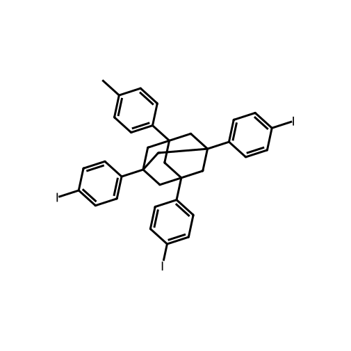 Cc1ccc(C23CC4(c5ccc(I)cc5)CC(c5ccc(I)cc5)(C2)CC(c2ccc(I)cc2)(C3)C4)cc1